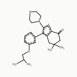 CC(C)COc1cccc(-c2c(N3CCOCC3)sc3c2CC(C)(C)CC3=O)c1